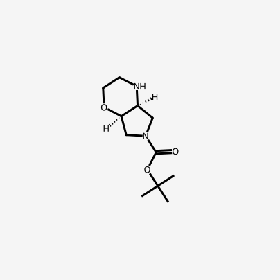 CC(C)(C)OC(=O)N1C[C@@H]2NCCO[C@@H]2C1